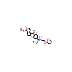 CCOc1nccc2c(C(=O)c3c(F)cc([C@@H](C)NCCOC4CCCCO4)cc3F)cccc12